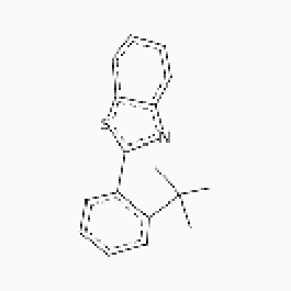 CC(C)(C)c1ccccc1-c1nc2ccccc2s1